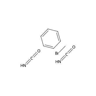 CBr.N=C=O.N=C=O.c1ccccc1